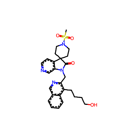 CS(=O)(=O)N1CCC2(CC1)C(=O)N(Cc1ncc3ccccc3c1CCCCO)c1cnccc12